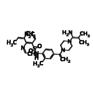 C=C/C(=C(/N=C\C)C(\C)=C/C)S(=O)(=O)Nc1ccc(C(=C)N2CCN(C(N)=C(C)C)CC2)cc1C